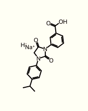 CC(C)c1ccc(N2CC(=O)N(c3cccc(C(=O)O)c3)C2=O)cc1.[H-].[Na+]